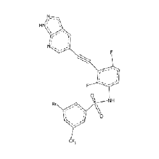 O=S(=O)(Nc1ccc(F)c(C#Cc2cnc3[nH]ncc3c2)c1F)c1cc(Br)cc(C(F)(F)F)c1